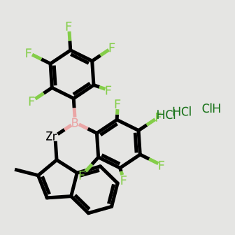 CC1=Cc2ccccc2[CH]1[Zr][B](c1c(F)c(F)c(F)c(F)c1F)c1c(F)c(F)c(F)c(F)c1F.Cl.Cl.Cl